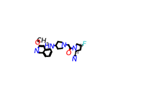 COc1cc2c(NC3CCN(CC(=O)N4C[C@@H](F)C[C@H]4C#N)CC3)cccc2cn1